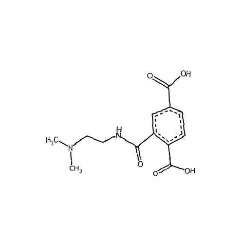 CN(C)CCNC(=O)c1cc(C(=O)O)ccc1C(=O)O